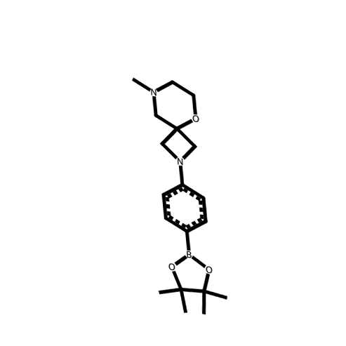 CN1CCOC2(C1)CN(c1ccc(B3OC(C)(C)C(C)(C)O3)cc1)C2